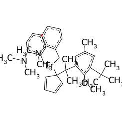 COc1c(C(C)(C)C)cc(C)cc1C(C)(C)[C]1([Er]([CH2]c2ccccc2N(C)C)[CH2]c2ccccc2N(C)C)C=CC=C1